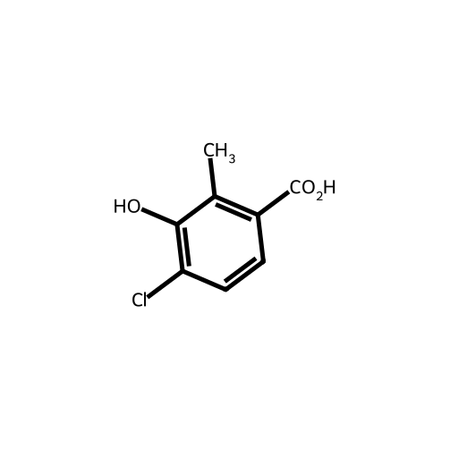 Cc1c(C(=O)O)ccc(Cl)c1O